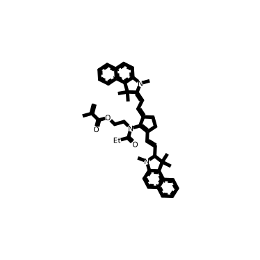 C=C(C)C(=O)OCCN(C(=O)CC)C1=C(/C=C/C2N(C)c3ccc4ccccc4c3C2(C)C)CC/C1=C\C=C1\N(C)c2ccc3ccccc3c2C1(C)C